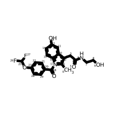 Cc1c(CC(=O)NCCO)c2cc(O)ccc2n1C(=O)c1ccc(OC(F)F)cc1